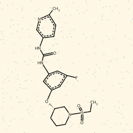 CCS(=O)(=O)N1CCC[C@H](Oc2cc(F)cc(NC(=O)Nc3ccc(C)nc3)c2)C1